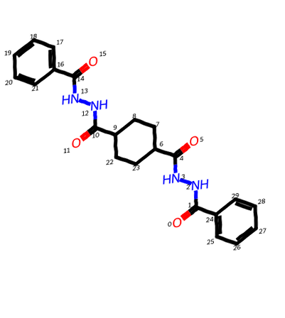 O=C(NNC(=O)C1CCC(C(=O)NNC(=O)c2ccccc2)CC1)c1ccccc1